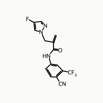 C=C(Cn1cc(F)cn1)C(=O)Nc1ccc(C#N)c(C(F)(F)F)c1